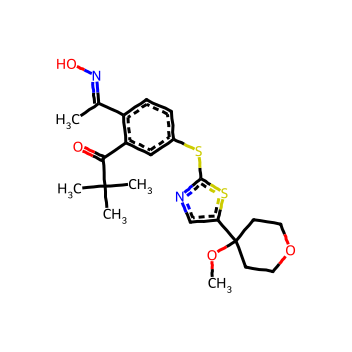 COC1(c2cnc(Sc3ccc(/C(C)=N/O)c(C(=O)C(C)(C)C)c3)s2)CCOCC1